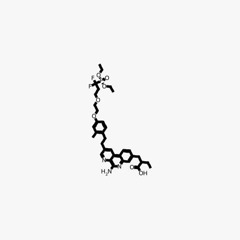 CCOP(=O)(OCC)C(F)(F)CCOCCOc1ccc(CCc2cnc3c(N)nc4cc(CC(CC)C(=O)O)ccc4c3c2)c(C)c1